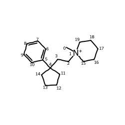 C[N+]1(CCC2(c3ccccc3)CCCC2)CCCCC1